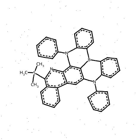 CS(C)(C)c1nc2c3c4c(cc2c2ccccc12)N(c1ccccc1)c1ccccc1B4c1ccccc1N3c1ccccc1